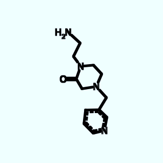 NCCN1CCN(Cc2cccnc2)CC1=O